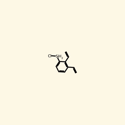 C=Cc1cccc([SiH2]Cl)c1C=C